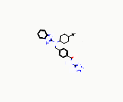 Cn1c(N(Cc2ccc(C(=O)Nc3nnn[nH]3)cc2)C2CCC(C(C)(C)C)CC2)nc2ccccc21